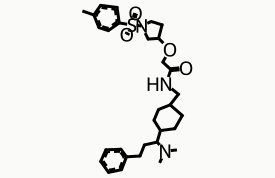 Cc1ccc(S(=O)(=O)N2CCC(OCC(=O)NCC3CCC(C(CCc4ccccc4)N(C)C)CC3)C2)cc1